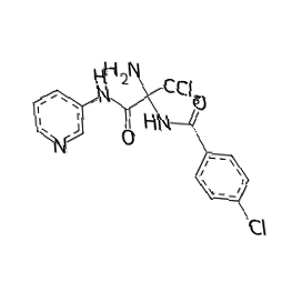 NC(NC(=O)c1ccc(Cl)cc1)(C(=O)Nc1cccnc1)C(Cl)(Cl)Cl